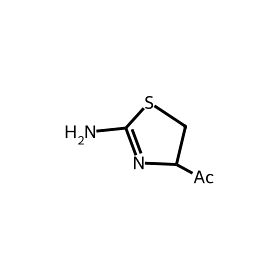 CC(=O)C1CSC(N)=N1